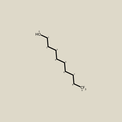 OCCCCCCCCC(F)(F)F